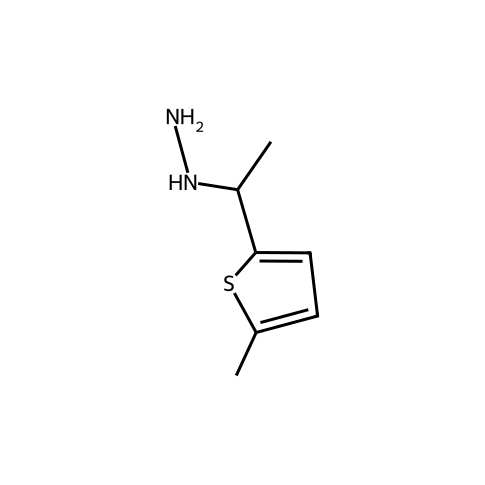 Cc1ccc(C(C)NN)s1